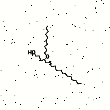 CCCCCCCCCCCCSCC(CCCO)OCCCCCCCCCC